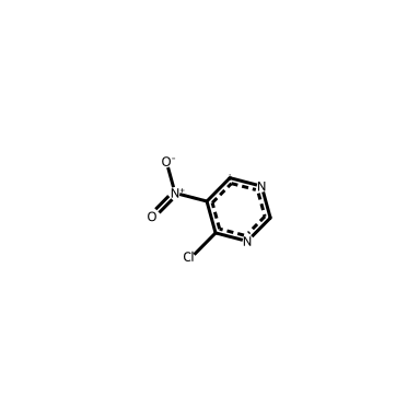 O=[N+]([O-])c1[c]ncnc1Cl